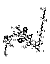 CC[C@H](NC(=O)CNC(=O)CNC(=O)CCCCCNC(=O)CCCCCN)C(=O)N[C@@H](CCC(=O)O)C(=O)N[C@@H](CC(N)=O)C(=O)N[C@@H](CC(C)C)C(=O)N[C@@H](Cc1ccc(O)cc1)C(=O)N[C@@H](Cc1ccccc1)C(=O)N[C@@H](CCC(N)=O)C(=O)NCC(=O)NCC(=O)NC(C(=O)N[C@H](CCCCN=[N+]=[N-])C(N)=O)C(C)C